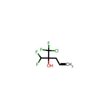 C=CCC(O)(C(F)F)C(F)(F)Cl